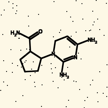 NC(=O)C1CCCC1N1CC=C(N)N=C1N